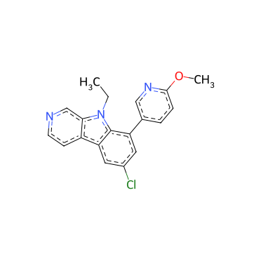 CCn1c2cnccc2c2cc(Cl)cc(-c3ccc(OC)nc3)c21